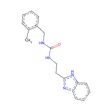 Cc1ccccc1CNC(=O)NCCc1nc2ccccc2[nH]1